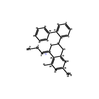 CCCO/N=C1\CC(c2ccccc2-c2ccccc2)Cc2nc(N)nc(C)c21